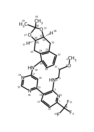 COCCNc1nc(C(F)(F)F)ccc1-c1cc(Nc2cccc3c2C[C@H]2OC(C)(C)O[C@H]2C3)ncn1